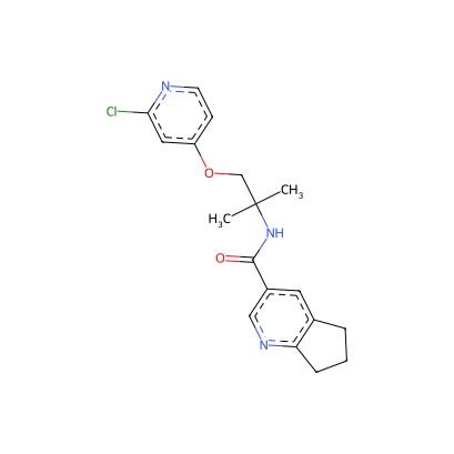 CC(C)(COc1ccnc(Cl)c1)NC(=O)c1cnc2c(c1)CCC2